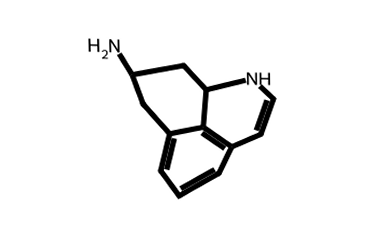 NC1Cc2cccc3c2C(C1)NC=C3